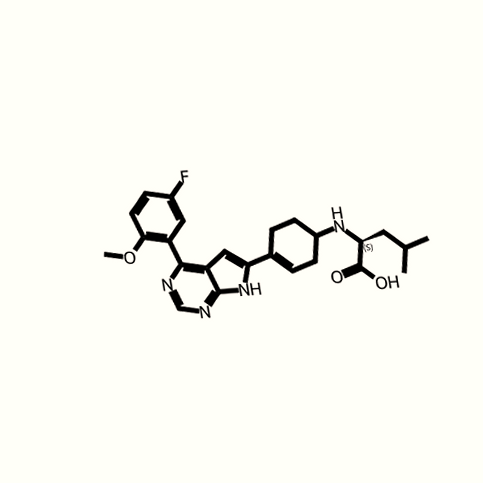 COc1ccc(F)cc1-c1ncnc2[nH]c(C3=CCC(N[C@@H](CC(C)C)C(=O)O)CC3)cc12